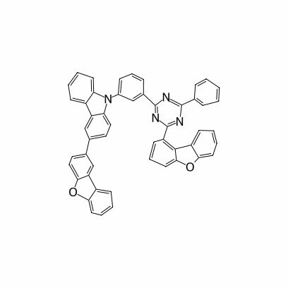 c1ccc(-c2nc(-c3cccc(-n4c5ccccc5c5cc(-c6ccc7oc8ccccc8c7c6)ccc54)c3)nc(-c3cccc4oc5ccccc5c34)n2)cc1